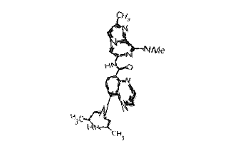 CNc1nc(NC(=O)c2ccc(N3CC(C)NC(C)C3)c3nccnc23)cn2cc(C)nc12